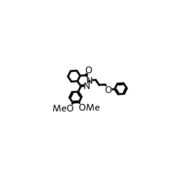 COc1ccc(C2=NN(CCCOc3ccccc3)C(=O)C3CCCCC23)cc1OC